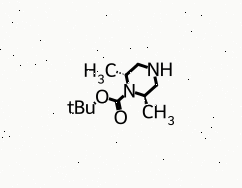 C[C@@H]1CNC[C@@H](C)N1C(=O)OC(C)(C)C